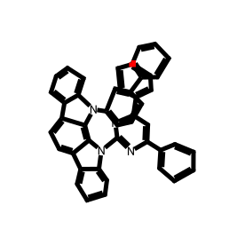 c1ccc(-c2cccc(-n3c4ccccc4c4ccc5c6ccccc6n(-c6nc(-c7ccccc7)cc(-c7ccccc7)n6)c5c43)c2)cc1